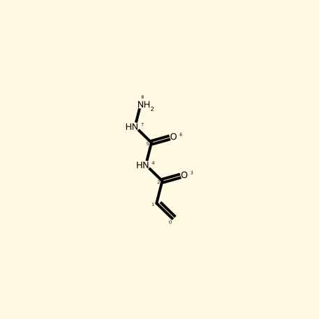 C=CC(=O)NC(=O)NN